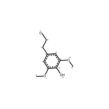 COc1cc(CCCl)cc(OC)c1O